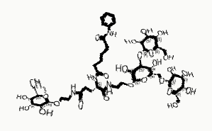 C[C@@H]1O[C@@H](OCCNC(=O)CC[C@H](NC(=O)CCCCC(=O)Nc2ccccc2)C(=O)NCCO[C@H]2O[C@H](CO[C@H]3O[C@H](CO)[C@@H](O)[C@H](O)[C@@H]3O)[C@@H](O)[C@H](O[C@H]3O[C@H](CO)[C@@H](O)[C@H](O)[C@@H]3O)[C@@H]2O)[C@@H](O)[C@H](O)[C@@H]1O